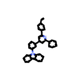 C=Cc1ccc(-c2cc(-c3cccc(-n4c5ccccc5c5ccccc54)c3)cc(-c3ccccc3)n2)cc1